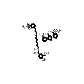 NS(=O)(=O)c1cccc(CCCOCCCCCCCNC[C@H](O)c2ccc(O)c(CO)c2)c1.O=C(O)Cc1ccccc1.O=C(O)Cc1ccccc1.O=C(O)Cc1ccccc1